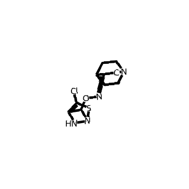 ClC1=C2NN(S1)C2ON=C1CN2CCC1CC2